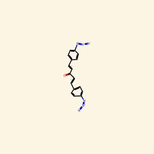 [N-]=[N+]=Nc1ccc(/C=C/C(=O)/C=C/c2ccc(N=[N+]=[N-])cc2)cc1